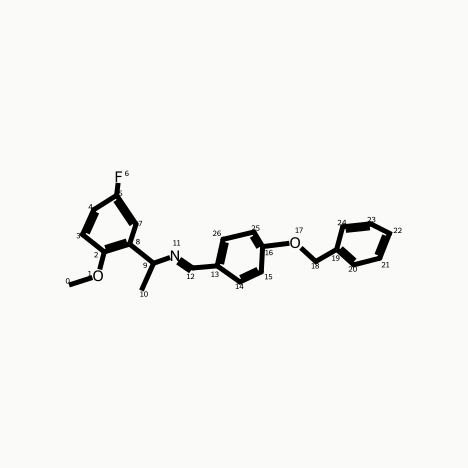 COc1ccc(F)cc1C(C)N=Cc1ccc(OCc2ccccc2)cc1